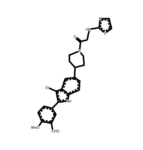 CCc1c(-c2ccc(OC)c(C=O)c2)[nH]c2ccc(C3CCN(C(=O)CNc4nccs4)CC3)cc12